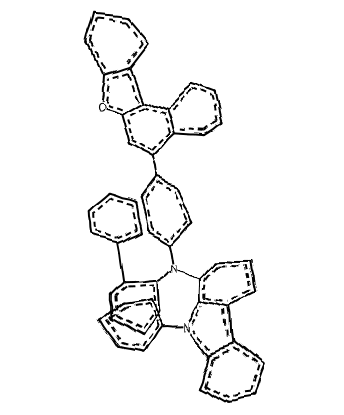 c1ccc(-c2ccccc2N(c2ccc(-c3cc4oc5ccccc5c4c4ccccc34)cc2)c2cccc3c4ccccc4n(-c4ccccc4)c23)cc1